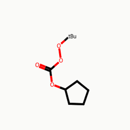 CC(C)(C)OOC(=O)OC1CCCC1